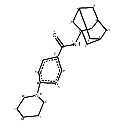 O=C(NC12CC3CC(CC(C3)C1)C2)c1ccc(N2C[CH]CCC2)nc1